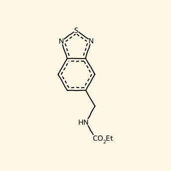 CCOC(=O)NCc1ccc2nsnc2c1